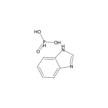 O=[PH](O)O.c1ccc2[nH]cnc2c1